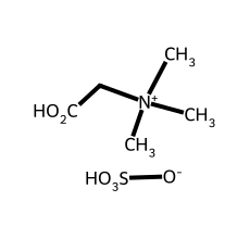 C[N+](C)(C)CC(=O)O.O=S(=O)([O-])O